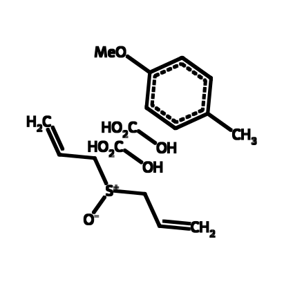 C=CC[S+]([O-])CC=C.COc1ccc(C)cc1.O=C(O)O.O=C(O)O